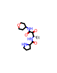 CC[C@H](NC(=O)C1CCCN1)C(=O)C(=O)NC1CCOCC1